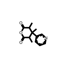 CC1C(=O)OC(=O)C(C)C1(C)c1cccnc1